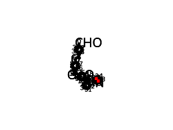 O=Cc1ccc(COc2ccc(C(=O)N3CCC(C(=O)OC4CN5CCC4CC5)(c4ccccc4)CC3)cc2)cc1